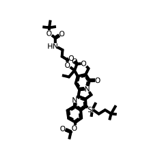 CCC1(OC(=O)CCNC(=O)OC(C)(C)C)C(=O)OCc2c1cc1n(c2=O)Cc2c-1nc1ccc(OC(C)=O)cc1c2[Si](C)(C)CCC(C)(C)C